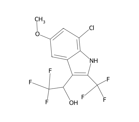 COc1cc(Cl)c2[nH]c(C(F)(F)F)c(C(O)C(F)(F)F)c2c1